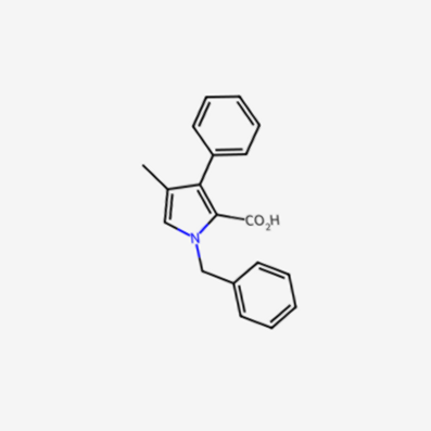 Cc1cn(Cc2ccccc2)c(C(=O)O)c1-c1ccccc1